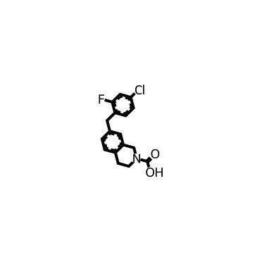 O=C(O)N1CCc2ccc(Cc3ccc(Cl)cc3F)cc2C1